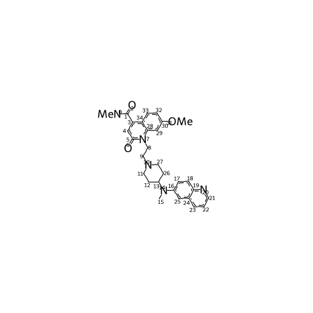 CNC(=O)c1cc(=O)n(CCN2CCC(N(C)c3ccc4ncccc4c3)CC2)c2cc(OC)ccc12